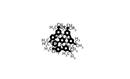 CC(C)(C)c1cc2c3c(c1)c1ccc(C(C)(C)C)cc1n3-c1c3c4c5c(c1C1CCCCC1)-n1c6cc(C(C)(C)C)ccc6c6cc(C(C)(C)C)cc(c61)B5c1cc(C(C)(C)C)cc5c6cc(C(C)(C)C)cc(c6n-4c15)B32